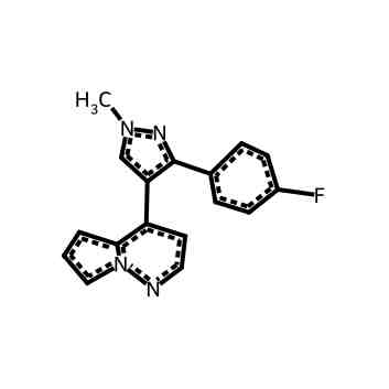 Cn1cc(-c2ccnn3cccc23)c(-c2ccc(F)cc2)n1